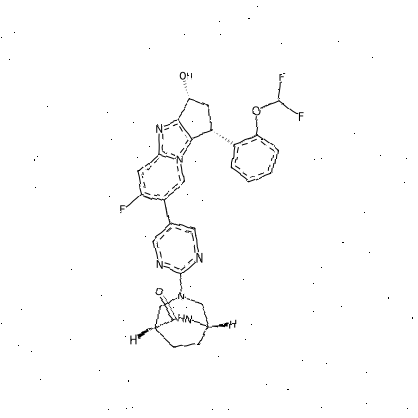 O=C1N[C@H]2CC[C@@H]1CN(c1ncc(-c3cn4c5c(nc4cc3F)[C@H](O)C[C@@H]5c3ccccc3OC(F)F)cn1)C2